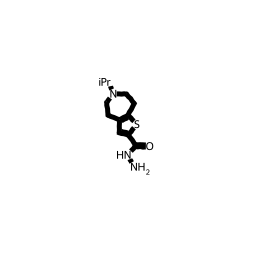 CC(C)N1CCc2cc(C(=O)NN)sc2CC1